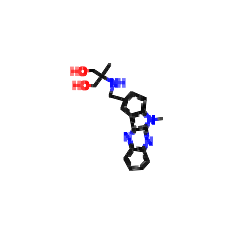 Cn1c2ccc(CNC(C)(CO)CO)cc2c2nc3ccccc3nc21